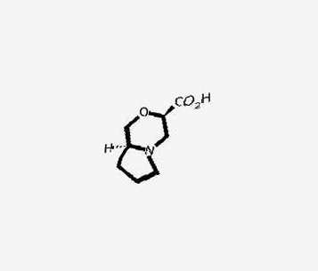 O=C(O)[C@H]1CN2CCC[C@H]2CO1